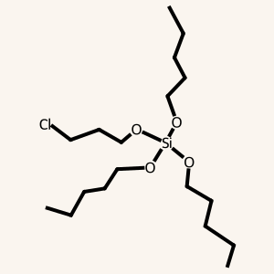 CCCCCO[Si](OCCCCl)(OCCCCC)OCCCCC